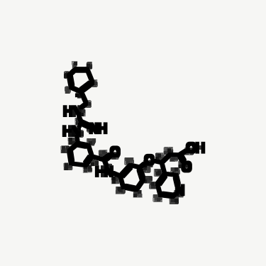 N=C(NCc1ccccc1)Nc1cccc(C(=O)Nc2cccc(OC(CC(=O)O)c3cccnc3)c2)c1